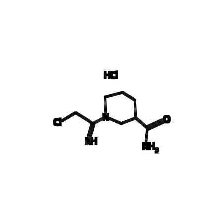 Cl.N=C(CCl)N1CCCC(C(N)=O)C1